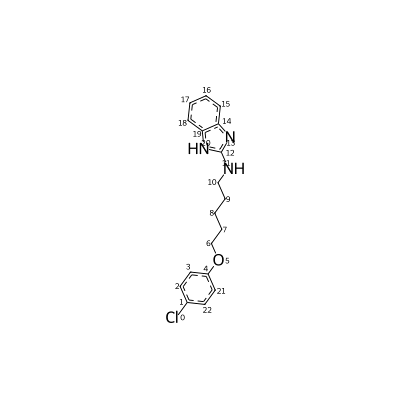 Clc1ccc(OCCCCCNc2nc3ccccc3[nH]2)cc1